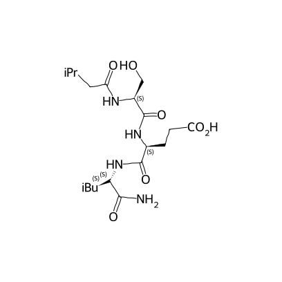 CC[C@H](C)[C@H](NC(=O)[C@H](CCC(=O)O)NC(=O)[C@H](CO)NC(=O)CC(C)C)C(N)=O